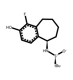 CC(C)(C)[S@+]([O-])N[C@@H]1CCCCc2c1ccc(O)c2F